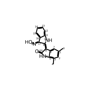 Cc1cc(C)c2c(c1)C(=C1Nc3ccccc3C1=NO)C(=O)N2